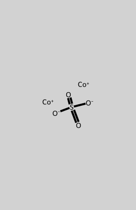 O=S(=O)([O-])[O-].[Co+].[Co+]